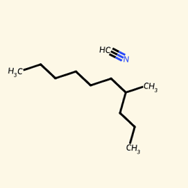 C#N.CCCCCCC(C)CCC